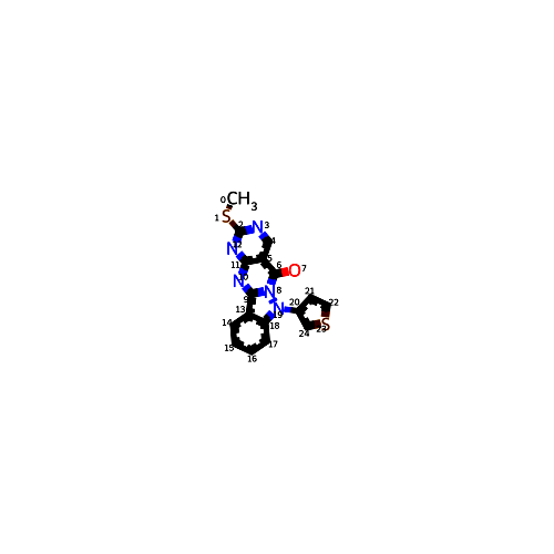 CSc1ncc2c(=O)n3c(nc2n1)c1ccccc1n3-c1ccsc1